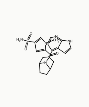 Cn1cc(S(N)(=O)=O)cc1C(=O)N1C2CCC1CN(c1ncnc3[nH]ccc13)C2